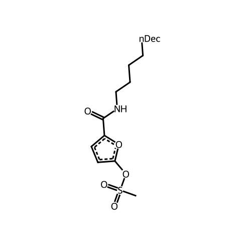 CCCCCCCCCCCCCCNC(=O)c1ccc(OS(C)(=O)=O)o1